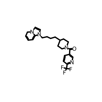 O=C(c1ccc(C(F)(F)F)nc1)N1CCC(CCCCN2C=CN3CC=CC=C32)CC1